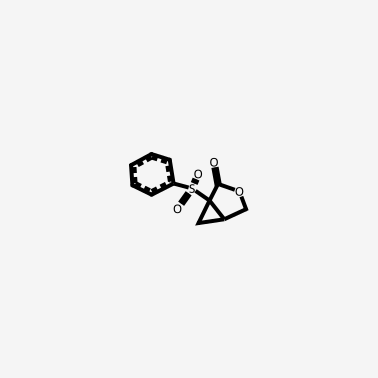 O=C1OCC2CC12S(=O)(=O)c1ccccc1